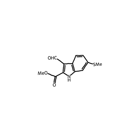 COC(=O)c1[nH]c2cc(SC)ccc2c1C=O